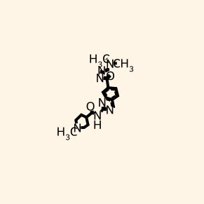 CN1CCC(C(=O)Nc2ncc3ccc(-c4nnc(N(C)C)o4)cc3n2)CC1